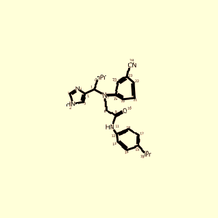 CCCC(c1c[nH]cn1)N(CC(=O)Nc1ccc(C(C)C)cc1)c1cccc(C#N)c1